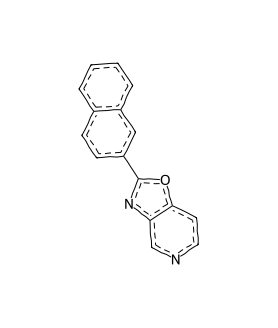 c1ccc2cc(-c3nc4cnccc4o3)ccc2c1